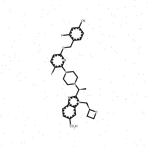 C[C@@H](c1nc2ccc(C(=O)O)cc2n1C[C@@H]1CCO1)N1CCN(c2nc(OCc3ccc(C#N)cc3F)ccc2F)CC1